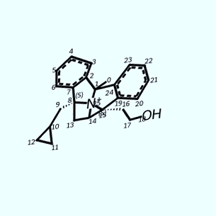 CC12c3ccccc3[C@]3(CC4CC4)CC4[C@](CCO)(c5ccccc51)[N+]423